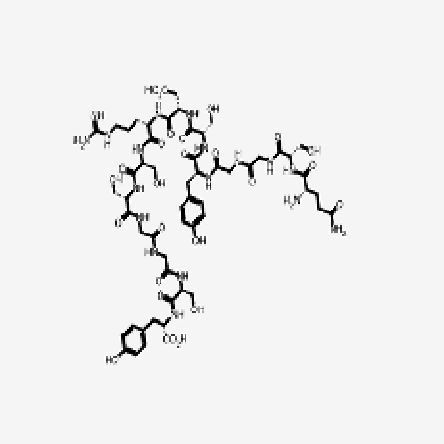 N=C(N)NCCC[C@H](NC(=O)[C@H](CC(=O)O)NC(=O)[C@H](CO)NC(=O)[C@H](Cc1ccc(O)cc1)NC(=O)CNC(=O)CNC(=O)[C@H](CO)NC(=O)[C@@H](N)CCC(N)=O)C(=O)N[C@@H](CO)C(=O)N[C@@H](CO)C(=O)NCC(=O)NCC(=O)N[C@@H](CO)C(=O)N[C@@H](Cc1ccc(O)cc1)C(=O)O